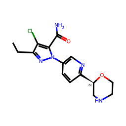 CCc1nn(-c2ccc([C@@H]3CNCCO3)nc2)c(C(N)=O)c1Cl